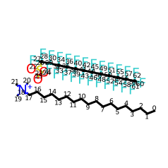 CCCCCCCCCCCCCCCCCC[N+](C)(C)C.O=S(=O)([O-])C(F)(F)C(F)(F)C(F)(F)C(F)(F)C(F)(F)C(F)(F)C(F)(F)C(F)(F)C(F)(F)C(F)(F)C(F)(F)C(F)(F)F